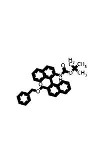 CC(C)(C)OC(=O)Nc1ccc2ccccc2c1-c1c(C(=O)OCc2ccccc2)ccc2ccccc12